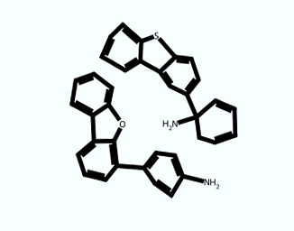 NC1(c2ccc3sc4ccccc4c3c2)C=CC=CC1.Nc1ccc(-c2cccc3c2oc2ccccc23)cc1